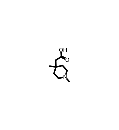 CN1CCC(C)(CC(=O)O)CC1